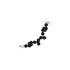 Cc1ccc(-c2ccc3ccc4c(-c5ccc(-n6c7ccccc7c7cc(-c8ccc9c(c8)c8ccccc8n9-c8ccc(-c9ccc%10ccc%11c(-c%12ccc(C)cc%12)ccc%12ccc9c%10c%12%11)cc8)ccc76)cc5)ccc5ccc2c3c54)cc1